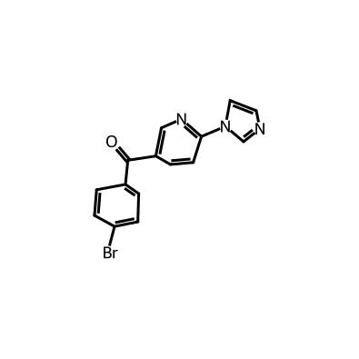 O=C(c1ccc(Br)cc1)c1ccc(-n2ccnc2)nc1